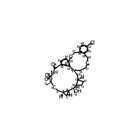 C[C@@H]1CC[C@@H]2C[C@H]2[C@](C)(O)[C@@H]2CC[C@H]2CN2CCCCc3cc(Cl)ccc3COc3ccc(cc32)C(=O)NS1(=O)=O